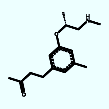 CNC[C@@H](C)Oc1cc(C)cc(CCC(C)=O)c1